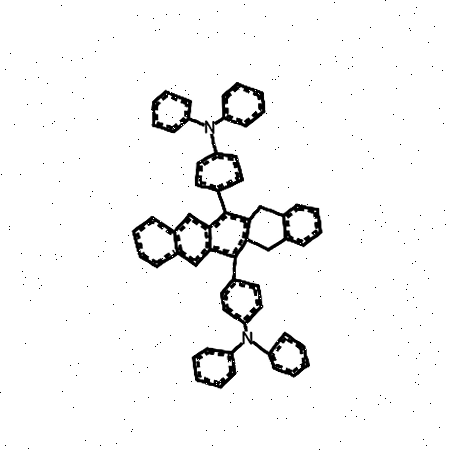 c1ccc(N(c2ccccc2)c2ccc(-c3c4c(c(-c5ccc(N(c6ccccc6)c6ccccc6)cc5)c5cc6ccccc6cc35)Cc3ccccc3C4)cc2)cc1